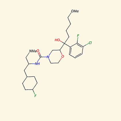 CNCC(CC1CCC(F)CC1)NC(=O)N1CCOC(C(O)(CCCCOC)c2cccc(Cl)c2F)C1